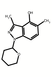 Cc1ccc2c(c(C)nn2C2CCCCO2)c1O